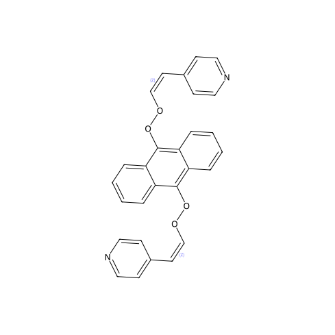 C(=C/c1ccncc1)/OOc1c2ccccc2c(OO/C=C\c2ccncc2)c2ccccc12